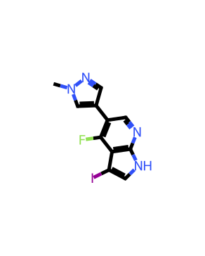 Cn1cc(-c2cnc3[nH]cc(I)c3c2F)cn1